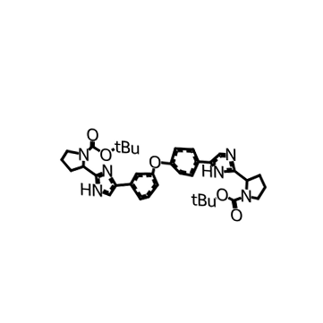 CC(C)(C)OC(=O)N1CCCC1c1nc(-c2cccc(Oc3ccc(-c4cnc(C5CCCN5C(=O)OC(C)(C)C)[nH]4)cc3)c2)c[nH]1